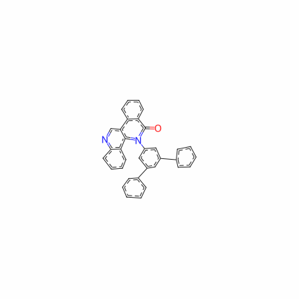 O=c1c2ccccc2c2cnc3ccccc3c2n1-c1cc(-c2ccccc2)cc(-c2ccccc2)c1